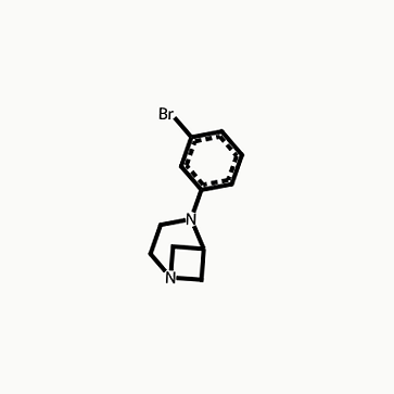 Brc1cccc(N2CCN3CC2C3)c1